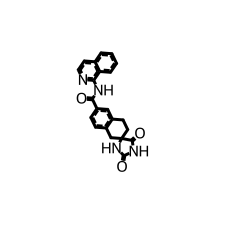 O=C1NC(=O)C2(CCc3cc(C(=O)Nc4nccc5ccccc45)ccc3C2)N1